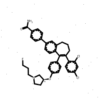 NC(=O)c1ccc(-c2ccc3c(c2)CCCC(c2ccc(Cl)cc2Cl)=C3c2ccc(O[C@H]3CCN(CCCF)C3)cc2)cc1